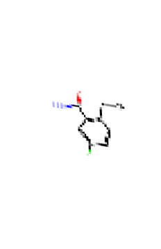 N#C[CH]c1ccc(Cl)cc1C(N)=O